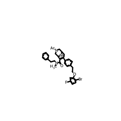 CC(=O)N1CC2CC(c3ccc(CCOc4cc(F)ccc4Br)cc3)=C(C(=O)N(C)CCc3ccccc3)C(C1)N2